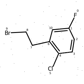 Fc1ccc(Cl)c(CCBr)c1